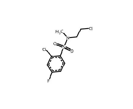 CN(CCCl)S(=O)(=O)c1ccc(F)cc1Cl